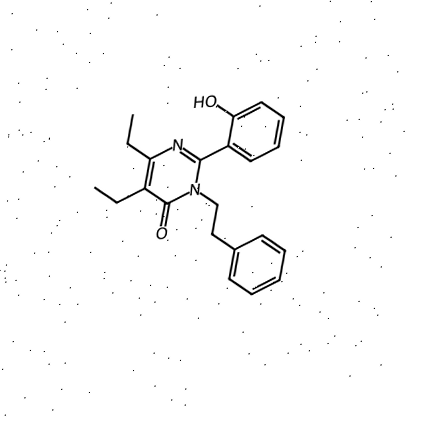 CCc1nc(-c2ccccc2O)n(CCc2ccccc2)c(=O)c1CC